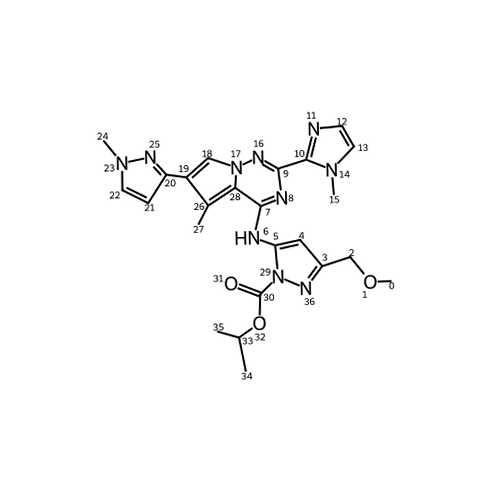 COCc1cc(Nc2nc(-c3nccn3C)nn3cc(-c4ccn(C)n4)c(C)c23)n(C(=O)OC(C)C)n1